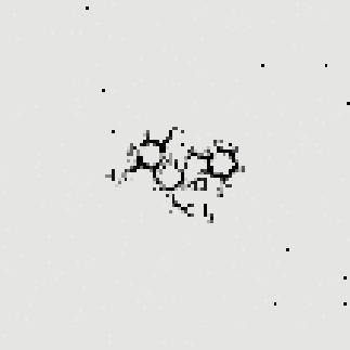 CC[C@@H](Oc1nc(Cl)cnc1C)[C@@H](C)OCc1ccccc1